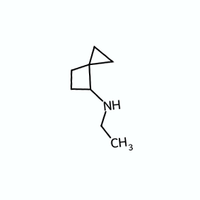 CCNC1CCC12CC2